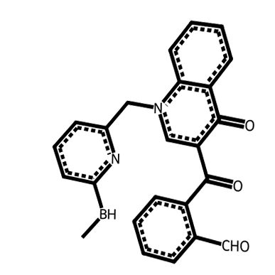 CBc1cccc(Cn2cc(C(=O)c3ccccc3C=O)c(=O)c3ccccc32)n1